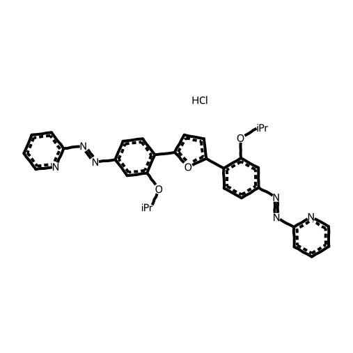 CC(C)Oc1cc(N=Nc2ccccn2)ccc1-c1ccc(-c2ccc(N=Nc3ccccn3)cc2OC(C)C)o1.Cl